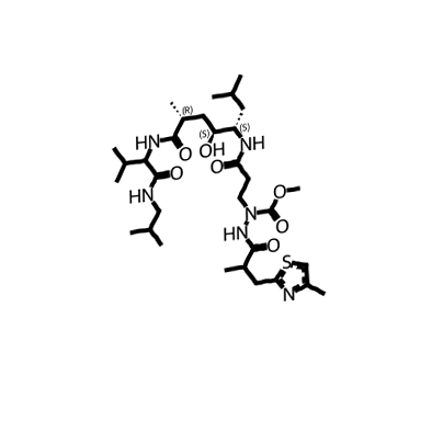 COC(=O)N(CCC(=O)N[C@@H](CC(C)C)[C@@H](O)C[C@@H](C)C(=O)NC(C(=O)NCC(C)C)C(C)C)NC(=O)C(C)Cc1nc(C)cs1